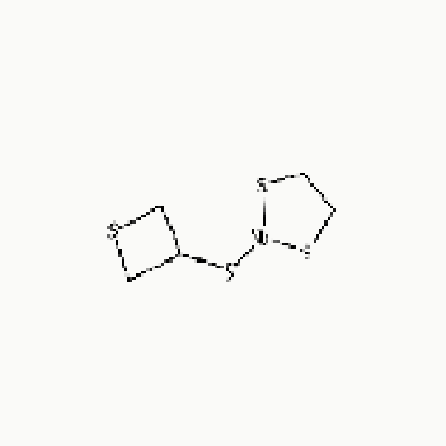 C1C[S][Sb]([S]C2CSC2)[S]1